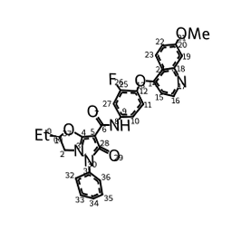 CC[C@@H]1Cn2c(c(C(=O)Nc3ccc(Oc4ccnc5cc(OC)ccc45)c(F)c3)c(=O)n2-c2ccccc2)O1